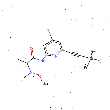 CC(C(=O)Nc1cc(Br)cc(C#C[Si](C(C)C)(C(C)C)C(C)C)n1)N(C)OC(C)(C)C